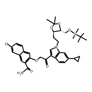 CC1(C)O[C@H](CCn2cc(C(=O)COc3cc4ccc(Cl)cc4cc3C(N)=O)c3ccc(C4CC4)cc32)[C@@H](CO[Si](C)(C)C(C)(C)C)O1